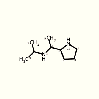 CC(C)NC(C)C1CCCN1